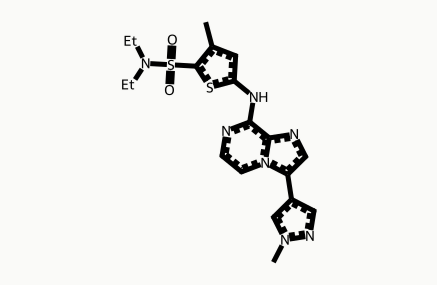 CCN(CC)S(=O)(=O)c1sc(Nc2nccn3c(-c4cnn(C)c4)cnc23)cc1C